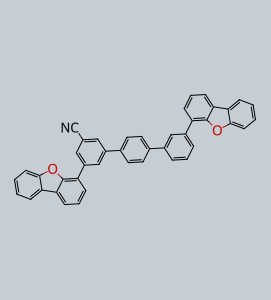 N#Cc1cc(-c2ccc(-c3cccc(-c4cccc5c4oc4ccccc45)c3)cc2)cc(-c2cccc3c2oc2ccccc23)c1